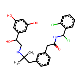 CC(C)(Cc1cccc(CC(=O)NC(Cl)c2ccccc2Cl)c1)NCC(O)c1cc(O)cc(O)c1